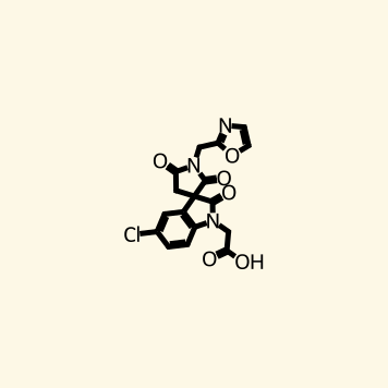 O=C(O)CN1C(=O)C2(CC(=O)N(Cc3ncco3)C2=O)c2cc(Cl)ccc21